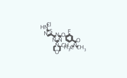 C[C@H]1COCCN1c1nc(Oc2ccc(C(=O)N(C)C)cc2F)nc(-c2cnc(NCl)s2)n1